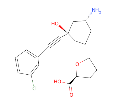 N[C@@H]1CCC[C@](O)(C#Cc2cccc(Cl)c2)C1.O=C(O)[C@@H]1CCCO1